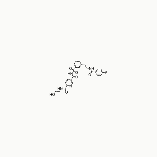 O=C(NCCc1cccc(S(=O)(=O)NC(=O)c2ccc(C(=O)NCCO)nc2)c1)c1ccc(F)cc1